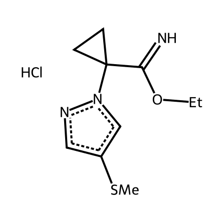 CCOC(=N)C1(n2cc(SC)cn2)CC1.Cl